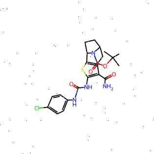 CC(C)(C)OC(=O)N1C2CCC1c1sc(NC(=O)Nc3ccc(Cl)cc3)c(C(N)=O)c1C2